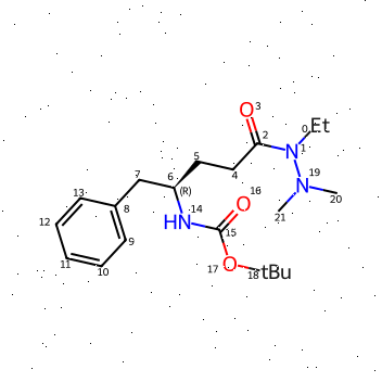 CCN(C(=O)CC[C@H](Cc1ccccc1)NC(=O)OC(C)(C)C)N(C)C